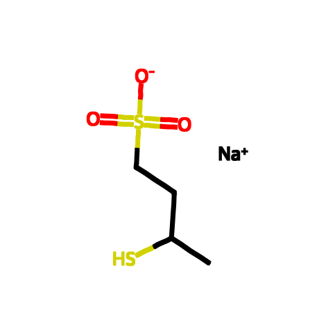 CC(S)CCS(=O)(=O)[O-].[Na+]